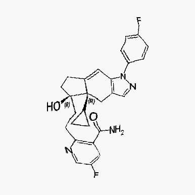 NC(=O)c1cc(F)cnc1CC[C@]1(O)CCC2=Cc3c(cnn3-c3ccc(F)cc3)C[C@@]21C1CC1